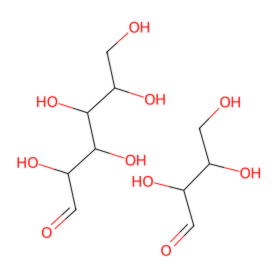 O=CC(O)C(O)C(O)C(O)CO.O=CC(O)C(O)CO